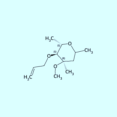 C=CCO[C@H]1[C@H](C)OC(C)C[C@@]1(C)OC